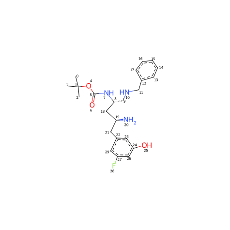 CC(C)(C)OC(=O)N[C@H](CNCc1ccccc1)C[C@@H](N)Cc1cc(O)cc(F)c1